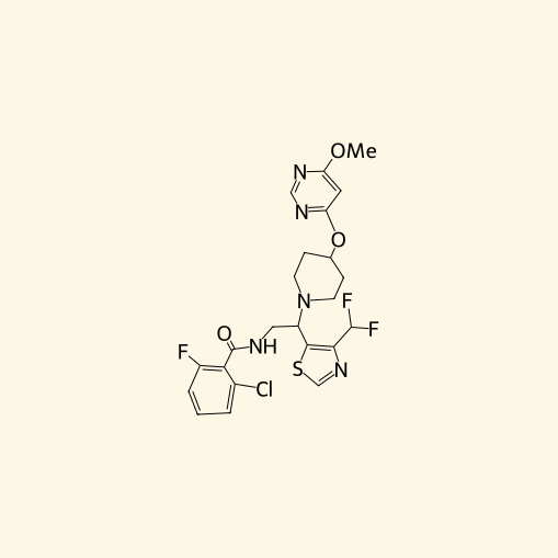 COc1cc(OC2CCN(C(CNC(=O)c3c(F)cccc3Cl)c3scnc3C(F)F)CC2)ncn1